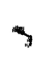 C[C@H](O)[C@H](NC(=O)c1ccc(C#CC#Cc2ccc(CNCCCN)o2)cc1)C(=O)NO